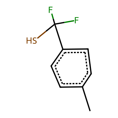 Cc1ccc(C(F)(F)S)cc1